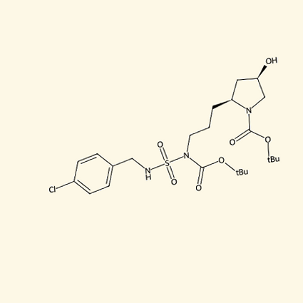 CC(C)(C)OC(=O)N1C[C@H](O)C[C@@H]1CCCN(C(=O)OC(C)(C)C)S(=O)(=O)NCc1ccc(Cl)cc1